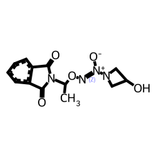 CC(O/N=[N+](\[O-])N1CC(O)C1)N1C(=O)c2ccccc2C1=O